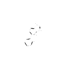 Clc1ccccc1-c1ccc2[nH]cnc2n1